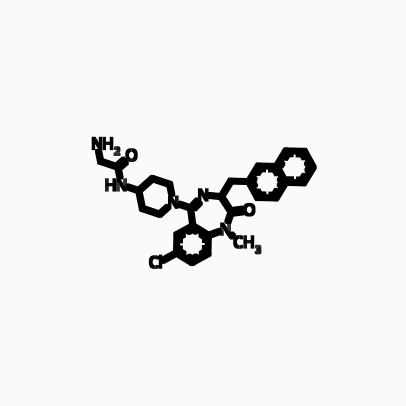 CN1C(=O)C(Cc2ccc3ccccc3c2)N=C(N2CCC(NC(=O)CN)CC2)c2cc(Cl)ccc21